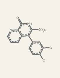 O=C(O)c1[nH]c(=O)c2ncccc2c1-c1ccc(Cl)c(Cl)c1